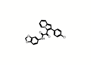 O=C(Nc1ccc2c(c1)OCO2)C(=O)c1c(-c2ccc(Cl)cc2)cc2ccccn12